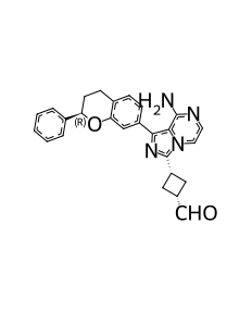 Nc1nccn2c1c(-c1ccc3c(c1)O[C@@H](c1ccccc1)CC3)nc2[C@H]1C[C@@H](C=O)C1